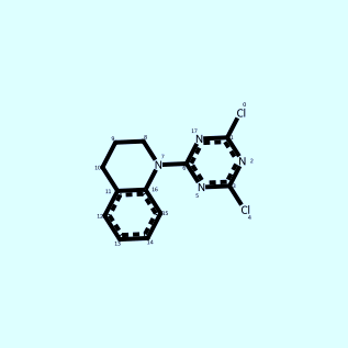 Clc1nc(Cl)nc(N2CCCc3ccccc32)n1